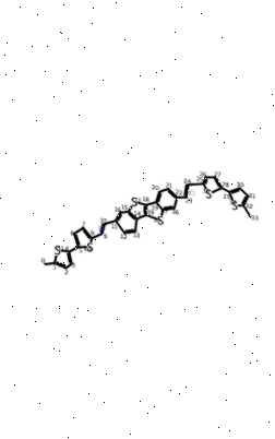 Cc1ccc(-c2ccc(/C=C/c3ccc4c(c3)sc3c5ccc(/C=C/c6ccc(-c7ccc(C)s7)s6)cc5sc43)s2)s1